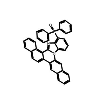 O=P(c1ccccc1)(c1ccccc1)c1cccc2c1nc1c3c4ccccc4ccc3c3cc4ccccc4cc3n21